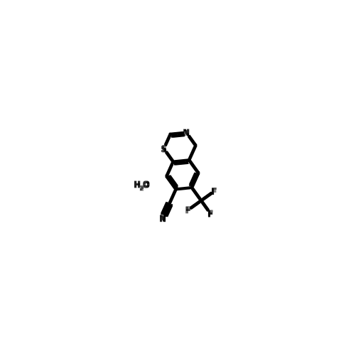 N#Cc1cc2c(cc1C(F)(F)F)CN=CS2.O